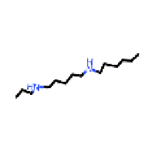 [CH2]CCNCCCCCNCCCCCC